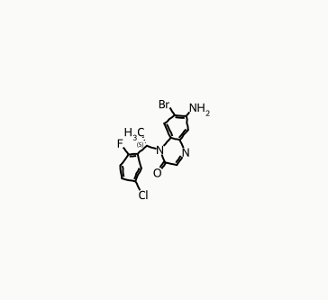 C[C@@H](c1cc(Cl)ccc1F)n1c(=O)cnc2cc(N)c(Br)cc21